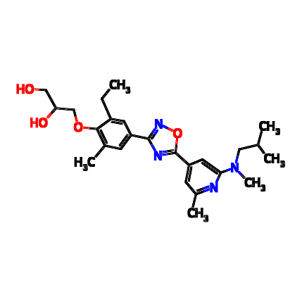 CCc1cc(-c2noc(-c3cc(C)nc(N(C)CC(C)C)c3)n2)cc(C)c1OCC(O)CO